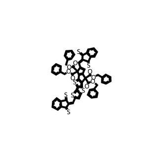 O=C(OCc1ccccc1)C1(C(=O)OCc2ccccc2)C(C=C2C(=S)c3ccccc3C2=S)=CC2=C1c1sc3c(sc4cc(C=C5C(=S)c6ccccc6C5=S)sc43)c1C2(C(=O)OCc1ccccc1)C(=O)OCc1ccccc1